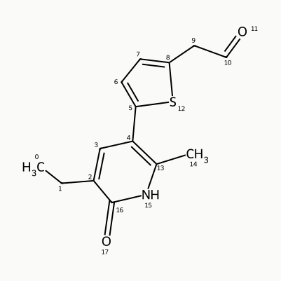 CCc1cc(-c2ccc(CC=O)s2)c(C)[nH]c1=O